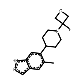 Cc1cc2cn[nH]c2cc1C1CCN(C2(F)COC2)CC1